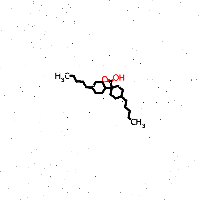 CCCCCC1CCC(C2(C(=O)O)CCC(CCCCC)CC2)CC1